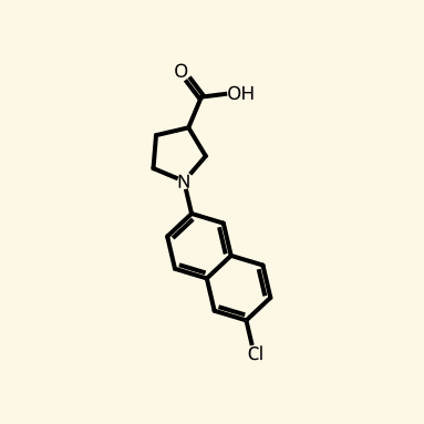 O=C(O)C1CCN(c2ccc3cc(Cl)ccc3c2)C1